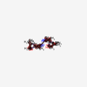 CC[C@H](C)[C@H]1C[C@]2(C=C[C@@H]1C)C[C@@H]1C[C@@H](C/C=C(\C)[C@@H](O[C@H]3C[C@H](OC)[C@@H](O[C@H]4C[C@H](OC)[C@H](NC(=O)NCCCCCCNC(=O)N[C@@H]5[C@H](C)O[C@@H](O[C@H]6[C@H](C)O[C@@H](O[C@@H]7/C(C)=C/C[C@@H]8C[C@@H](C[C@]9(C=C[C@H](C)[C@@H]([C@@H](C)CC)O9)O8)OC(=O)[C@@H]8C=C(C)[C@@H](O)[C@H]9OC/C(=C\C=C\[C@@H]7C)[C@]98O)C[C@@H]6OC)C[C@@H]5OC)[C@H](C)O4)[C@H](C)O3)[C@@H](C)/C=C/C=C3\CO[C@@H]4[C@H](O)C(C)=C[C@@H](C(=O)O1)[C@]34O)O2